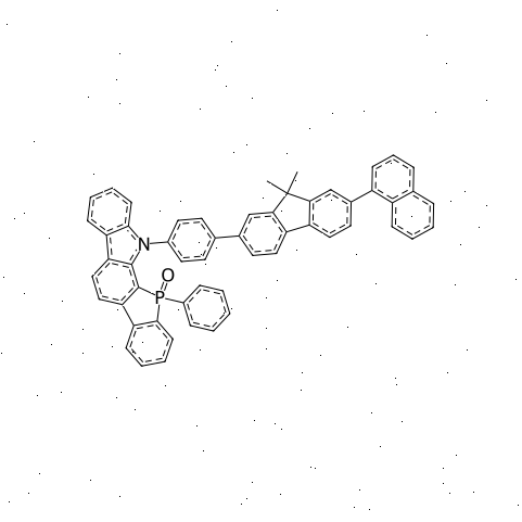 CC1(C)c2cc(-c3ccc(-n4c5ccccc5c5ccc6c(c54)P(=O)(c4ccccc4)c4ccccc4-6)cc3)ccc2-c2ccc(-c3cccc4ccccc34)cc21